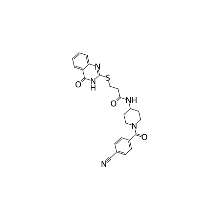 N#Cc1ccc(C(=O)N2CCC(NC(=O)CCSc3nc4ccccc4c(=O)[nH]3)CC2)cc1